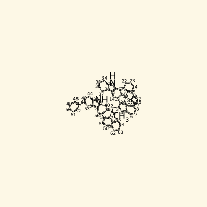 CC1(Cc2cc3ccccc3c3c2-c2cc4c(cc2C32c3ccccc3-c3ccccc32)[nH]c2ccccc24)c2cc3[nH]c4ccc(-c5ccccc5)cc4c3cc2-c2ccc3ccccc3c21